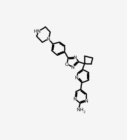 Nc1ncc(-c2ccc(C3(c4noc(-c5ccc(N6CCNCC6)cc5)n4)CCC3)cn2)cn1